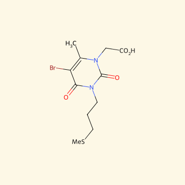 CSCCCn1c(=O)c(Br)c(C)n(CC(=O)O)c1=O